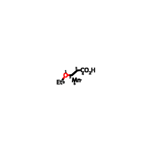 CCOCCC(=O)O.[Mn]